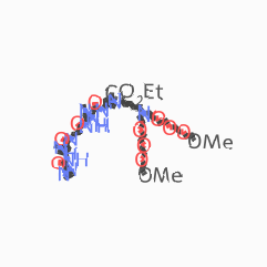 CCOC(=O)c1cc(NC(=O)c2nc(NC(=O)CCNC(=O)c3cc(NC(=O)c4nccn4C)cn3C)cn2C)cn1CCCCCN(CCOCCOCCOCCOC)CCOCCOCCOCCOC